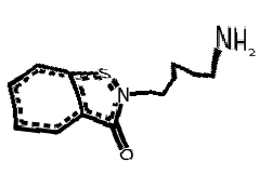 NCCCn1sc2ccccc2c1=O